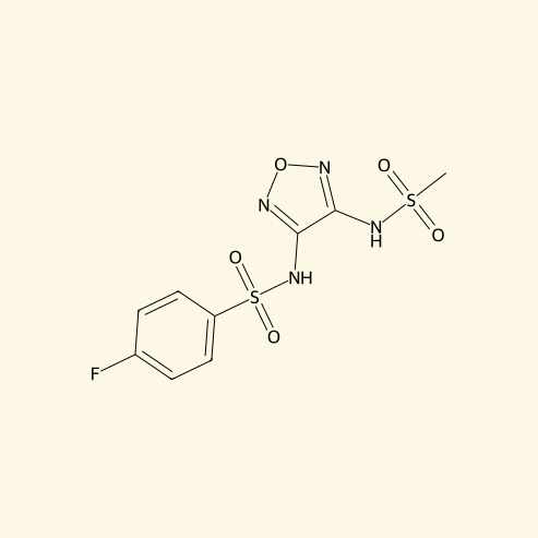 CS(=O)(=O)Nc1nonc1NS(=O)(=O)c1ccc(F)cc1